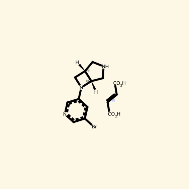 Brc1cncc(N2C[C@@H]3CNC[C@@H]32)c1.O=C(O)/C=C/C(=O)O